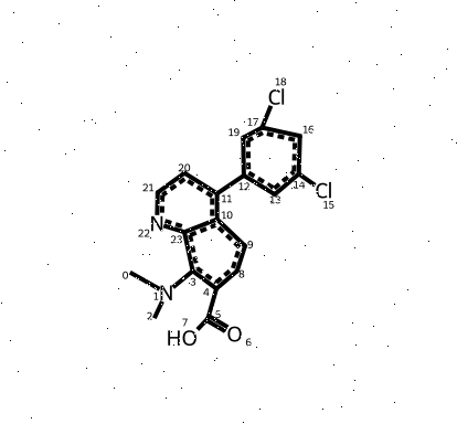 CN(C)c1c(C(=O)O)ccc2c(-c3cc(Cl)cc(Cl)c3)ccnc12